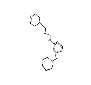 c1cc(CN2CCCCC2)cc(OCCCN2CCOCC2)c1